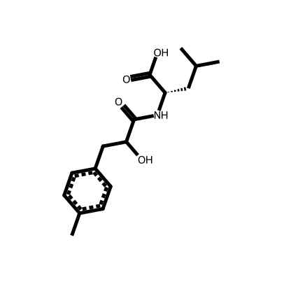 Cc1ccc(CC(O)C(=O)N[C@@H](CC(C)C)C(=O)O)cc1